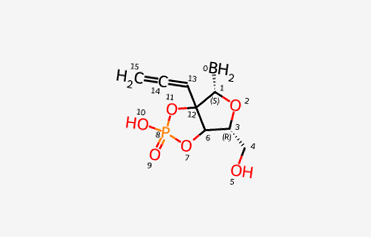 B[C@@H]1O[C@H](CO)C2OP(=O)(O)OC21C=C=C